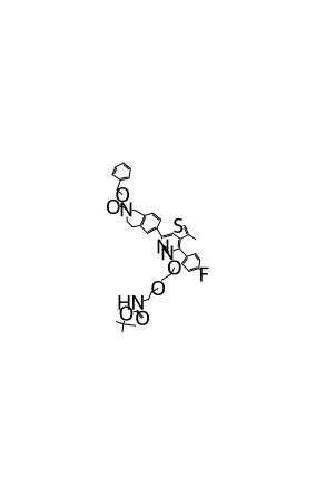 Cc1csc2c(-c3ccc4c(c3)CCN(C(=O)OCc3ccccc3)C4)nnc(-c3ccc(F)cc3OCCOCCNC(=O)OC(C)(C)C)c12